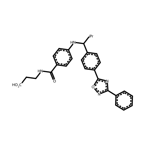 CC(C)C(Nc1ccc(C(=O)NCCC(=O)O)cc1)c1ccc(-c2nc(-c3ccccc3)no2)cc1